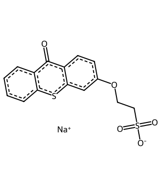 O=c1c2ccccc2sc2cc(OCCS(=O)(=O)[O-])ccc12.[Na+]